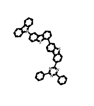 c1ccc(-c2nc(-c3ccccc3)nc(-c3ccc4sc5cc(-c6cccc7c6sc6ccc(-n8c9ccccc9c9ccccc98)cc67)ccc5c4c3)n2)cc1